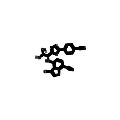 C[C@H](O)[C@@H](Nc1ccc(C#N)c2scc(Cl)c12)c1nnc(-c2ccc(C#N)cc2)o1